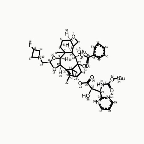 CC(=O)O[C@@]12CO[C@@H]1CC[C@@]1(C)[C@@H]3O[C@H](CN4CC(F)C4)O[C@@H]3C3=C(C)[C@@H](OC(=O)[C@H](O)[C@@H](NC(=O)OC(C)(C)C)c4ncccn4)C[C@@](O)([C@@H](OC(=O)c4ccccc4)[C@@H]12)C3(C)C